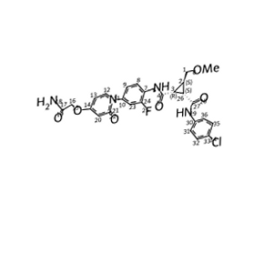 COC[C@@H]1[C@@H](C(=O)Nc2ccc(-n3ccc(OCC(N)=O)cc3=O)cc2F)[C@H]1C(=O)Nc1ccc(Cl)cc1